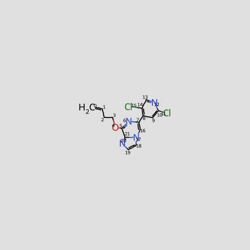 C=CCCOc1nc(-c2cc(Cl)ncc2Cl)cn2ccnc12